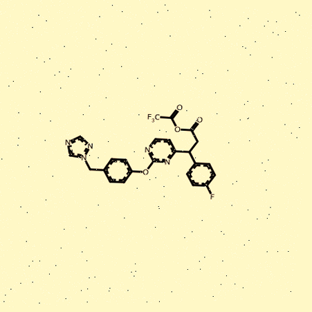 O=C(CC(c1ccc(F)cc1)c1ccnc(Oc2ccc(Cn3cncn3)cc2)n1)OC(=O)C(F)(F)F